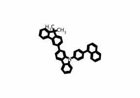 CC1(C)c2ccccc2-c2cc(-c3ccc4c5ccccc5n(-c5ccc(-c6cccc7ccccc67)cc5)c4c3)ccc21